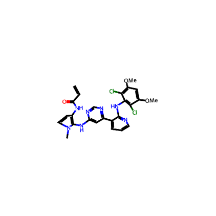 C=CC(=O)Nc1ccn(C)c1Nc1cc(-c2cccnc2Nc2c(Cl)c(OC)cc(OC)c2Cl)ncn1